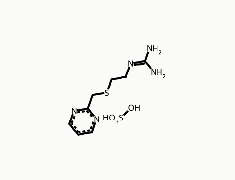 NC(N)=NCCSCc1ncccn1.O=S(=O)(O)O